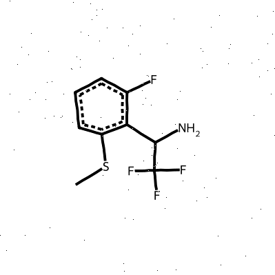 CSc1cccc(F)c1C(N)C(F)(F)F